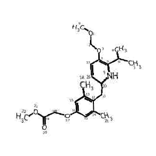 COCOC1=C(C(C)C)NC(Cc2c(C)cc(OCC(=O)OC)cc2C)C=C1